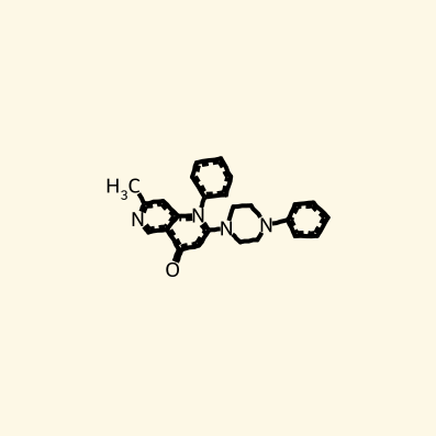 Cc1cc2c(cn1)c(=O)cc(N1CCN(c3ccccc3)CC1)n2-c1ccccc1